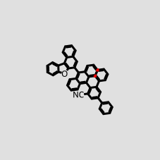 N#Cc1cc(-c2ccccc2)cc(-c2ccccc2)c1-c1c2ccccc2c(-c2cc3ccccc3c3c2oc2ccccc23)c2ccccc12